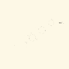 CCC[C@]1(C)CC[C@H](F)[C@H](N(c2cnc(-c3ccc(-c4cnc(C#N)s4)cc3O)nn2)C2CC2)C1